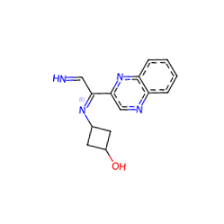 N=C/C(=N/C1CC(O)C1)c1cnc2ccccc2n1